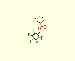 CC1CCC[C@H](C(=O)OCc2c(F)c(F)c(F)c(F)c2F)C1